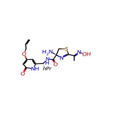 C=CCOc1cc([C@@H](CCC)NC(=O)[C@]2(N)CSC(/C(C)=N/O)=N2)[nH]c(=O)c1